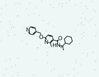 Cc1nc(OCc2ccncc2)ccc1C(=O)N[C@H](C)C1CCCCC1